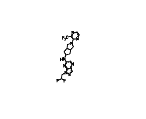 FC(F)Cn1ncc2ncc(NC3CC4CN(c5nccnc5C(F)(F)F)CC4C3)nc21